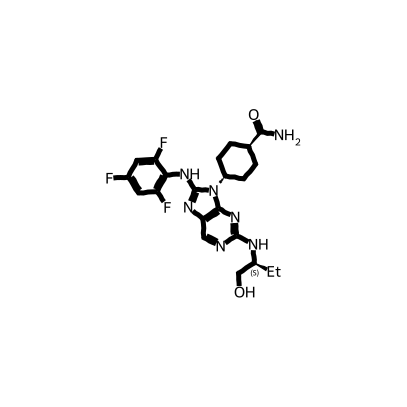 CC[C@@H](CO)Nc1ncc2nc(Nc3c(F)cc(F)cc3F)n([C@H]3CC[C@H](C(N)=O)CC3)c2n1